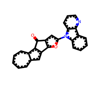 O=C1c2cc(-n3c4ccccc4c4ncccc43)oc2-c2cc3cccccc-3c21